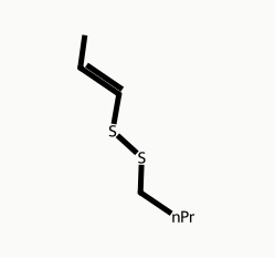 CC=CSSCCCC